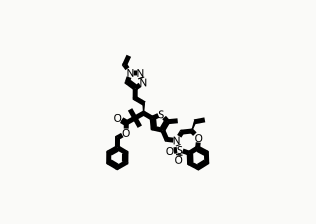 CC[C@@H]1CN(Cc2cc([C@H](CCc3cn(CC)nn3)C(C)(C)C(=O)OCc3ccccc3)sc2C)S(=O)(=O)c2ccccc2O1